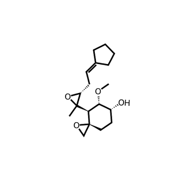 CO[C@@H]1[C@H](O)CC[C@]2(CO2)[C@H]1C1(C)O[C@@H]1CC=C1CCCC1